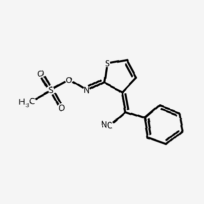 CS(=O)(=O)ON=C1SC=C/C1=C(/C#N)c1ccccc1